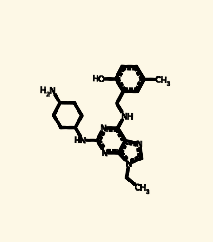 CCn1cnc2c(NCc3cc(C)ccc3O)nc(NC3CCC(N)CC3)nc21